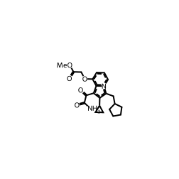 COC(=O)COc1cccn2c(CC3CCCC3)c(C3CC3)c(C(=O)C(N)=O)c12